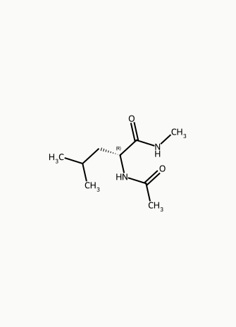 CNC(=O)[C@@H](CC(C)C)NC(C)=O